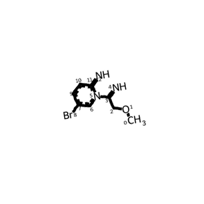 COCC(=N)n1cc(Br)ccc1=N